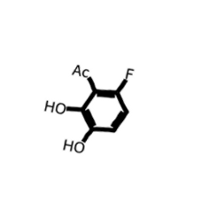 CC(=O)c1c(F)ccc(O)c1O